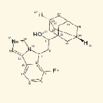 OC(CC1c2c(F)cccc2-c2cncn21)C12CC3C[C@H](C1)C[C@H](C3)C2